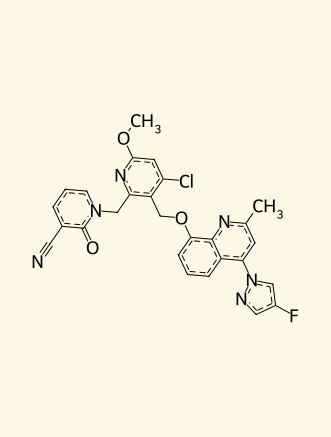 COc1cc(Cl)c(COc2cccc3c(-n4cc(F)cn4)cc(C)nc23)c(Cn2cccc(C#N)c2=O)n1